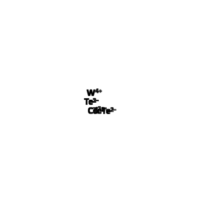 [Cd+2].[Te-2].[Te-2].[Te-2].[W+4]